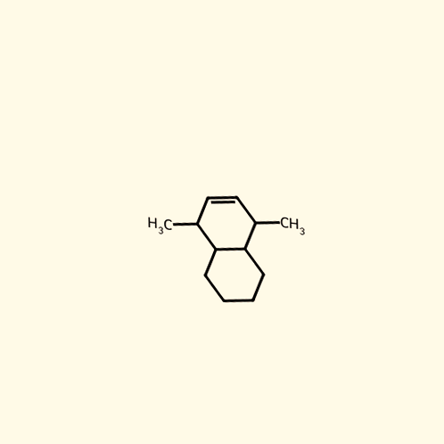 CC1C=CC(C)C2CCCCC12